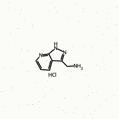 Cl.NCc1n[nH]c2ncccc12